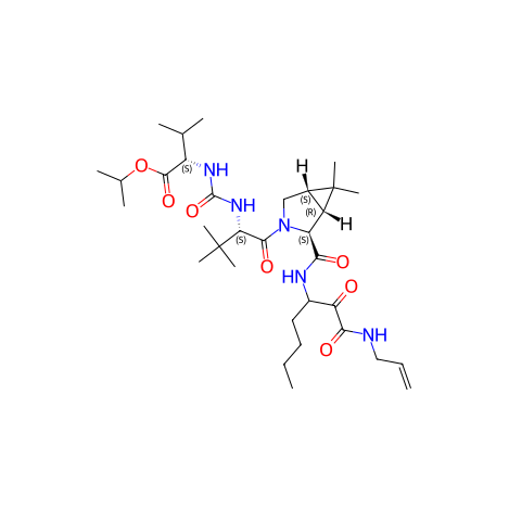 C=CCNC(=O)C(=O)C(CCCC)NC(=O)[C@@H]1[C@@H]2[C@H](CN1C(=O)[C@@H](NC(=O)N[C@H](C(=O)OC(C)C)C(C)C)C(C)(C)C)C2(C)C